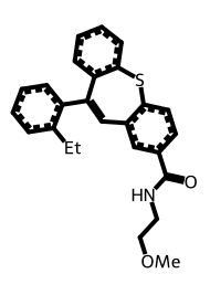 CCc1ccccc1C1=Cc2cc(C(=O)NCCOC)ccc2Sc2ccccc21